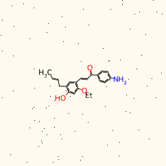 C/C=C/Cc1cc(/C=C/C(=O)c2ccc(N)cc2)c(OCC)cc1O